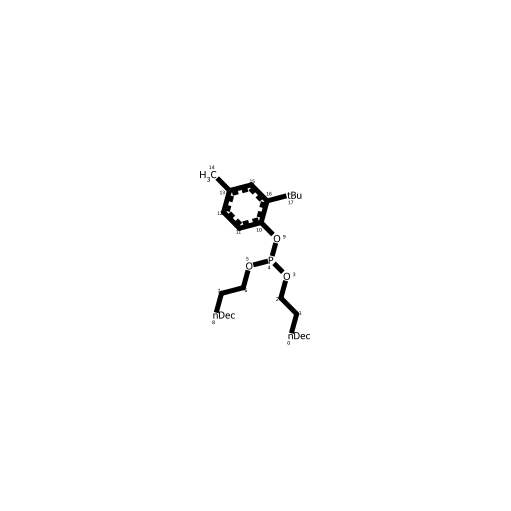 CCCCCCCCCCCCOP(OCCCCCCCCCCCC)Oc1ccc(C)cc1C(C)(C)C